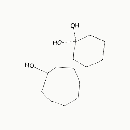 OC1(O)CCCCC1.OC1CCCCCCC1